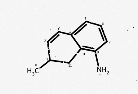 CC1C=Cc2cccc(N)c2C1